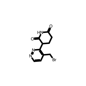 O=C1CCC(c2nnccc2CBr)C(=O)N1